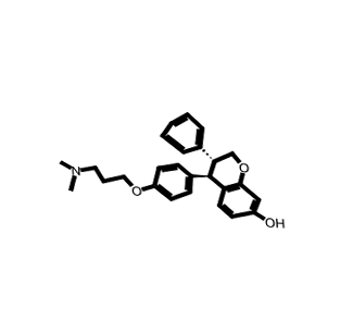 CN(C)CCCOc1ccc([C@@H]2c3ccc(O)cc3OC[C@H]2c2ccccc2)cc1